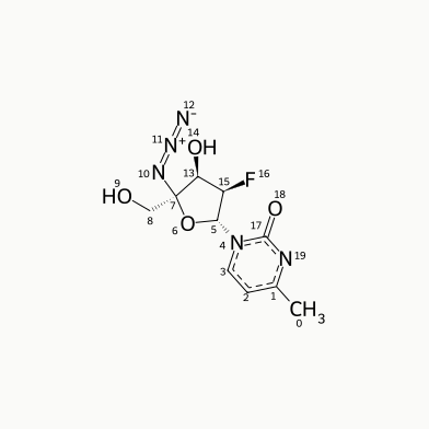 Cc1ccn([C@@H]2O[C@@](CO)(N=[N+]=[N-])[C@@H](O)[C@H]2F)c(=O)n1